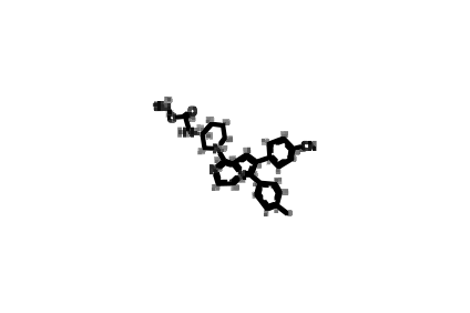 Cc1ccc(-c2c(-c3ccc(C#N)cc3)cc3c(N4CCC[C@@H](NC(=O)OC(C)(C)C)C4)nccn23)cc1